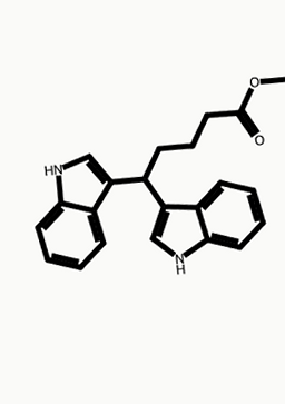 COC(=O)CCCC(c1c[nH]c2ccccc12)c1c[nH]c2ccccc12